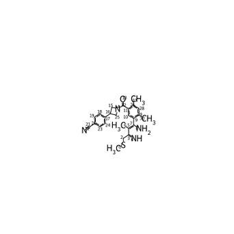 CSCC(=N)/C(C)=C(\N)c1cc(C(=O)N2CC(c3ccc(C#N)cc3)C2)c(C)cc1C